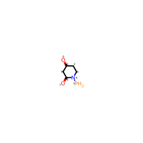 O=C1CCN(P)C(=O)C1